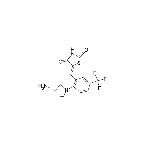 N[C@H]1CCN(c2ccc(C(F)(F)F)cc2/C=C2\SC(=O)NC2=O)C1